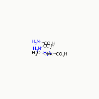 COC.NC(=O)O.NC(=O)O.NC(=O)O